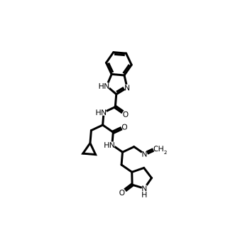 C=NCC(CC1CCNC1=O)NC(=O)C(CC1CC1)NC(=O)c1nc2ccccc2[nH]1